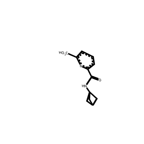 O=C(O)c1cccc(C(=O)NC23CC(C2)C3)n1